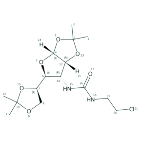 CC1(C)O[C@H]2O[C@H]([C@H]3COC(C)(C)O3)[C@@H](NC(=O)NCCCl)[C@H]2O1